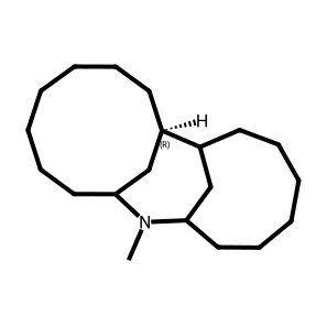 CN1C2CCCCCCC(C2)[C@@H]2CCCCCCCC1C2